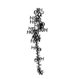 CC1C(C(N)=O)=CC=CN1[C@@H]1O[C@H](COP(=O)(O)OP(=O)(O)OC[C@H]2O[C@@H](n3cnc4c(NCCCNC(=O)CCCCCNC(=O)CCCCCN=[N+]=[N-])ncnc43)[C@H](O)[C@@H]2O)[C@@H](O)[C@H]1O